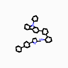 C1=CC(CNc2ccccc2-c2cccc(-c3ccc4c5ccccc5n(-c5ccccc5)c4c3)c2)N=C1c1ccc(-c2ccccc2)cc1